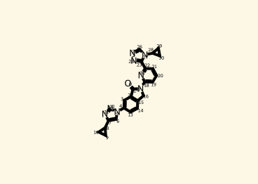 O=C1c2cc(-n3cc(C4CC4)nn3)ccc2CN1c1cccc(-c2nncn2C2CC2)n1